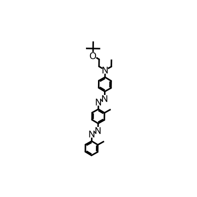 CCN(CCOC(C)(C)C)c1ccc(/N=N/c2ccc(/N=N/c3ccccc3C)cc2C)cc1